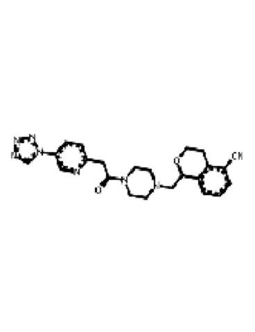 N#Cc1cccc2c1CCOC2CN1CCN(C(=O)Cc2ccc(-n3cnnn3)cn2)CC1